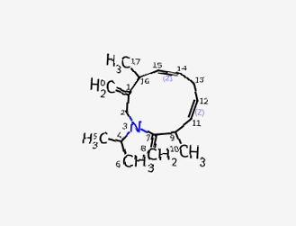 C=C1CN(C(C)C)C(=C)C(C)/C=C\C/C=C\C1C